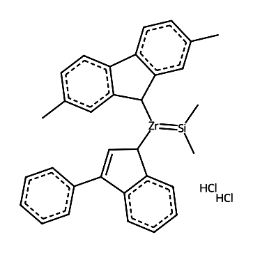 Cc1ccc2c(c1)[CH]([Zr]([CH]1C=C(c3ccccc3)c3ccccc31)=[Si](C)C)c1cc(C)ccc1-2.Cl.Cl